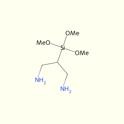 CO[Si](OC)(OC)C(CN)CN